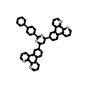 c1ccc(-c2ccc(-c3nc(-c4ccc5c(c4)c4cccnc4c4ncccc54)cc(-c4ccc5c(c4)c4cccnc4c4ncccc54)n3)cc2)cc1